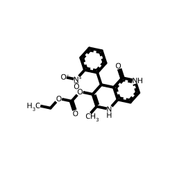 CCOC(=O)OC1=C(C)Nc2cc[nH]c(=O)c2C1c1ccccc1[N+](=O)[O-]